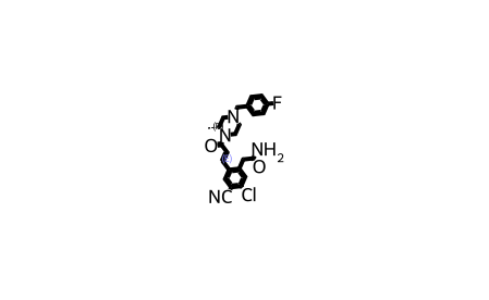 C[C@@H]1CN(Cc2ccc(F)cc2)CCN1C(=O)/C=C/c1cc(C#N)c(Cl)cc1CC(N)=O